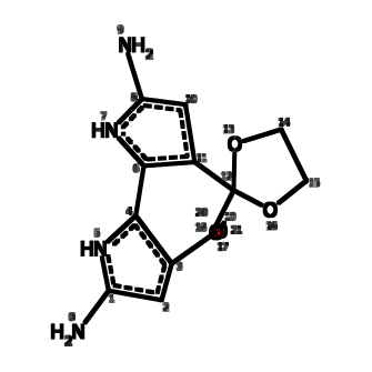 Nc1cc2c([nH]1)-c1[nH]c(N)cc1C1(OCCO1)C21OCCO1